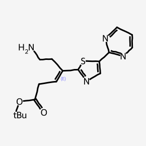 CC(C)(C)OC(=O)C/C=C(\CCN)c1ncc(-c2ncccn2)s1